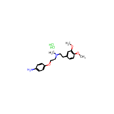 COc1ccc(CCN(C)CCOc2ccc(N)cc2)cc1OC.Cl.Cl